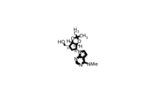 CNc1ncnc2c1ccn2[C@@H]1C[C@H](CO)[C@H]2OC(C)(C)O[C@H]21